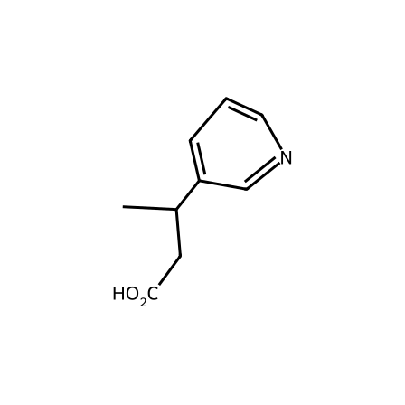 CC(CC(=O)O)c1cccnc1